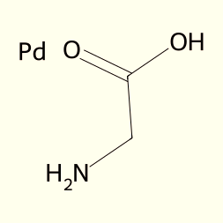 NCC(=O)O.[Pd]